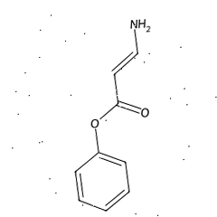 NC=CC(=O)Oc1ccccc1